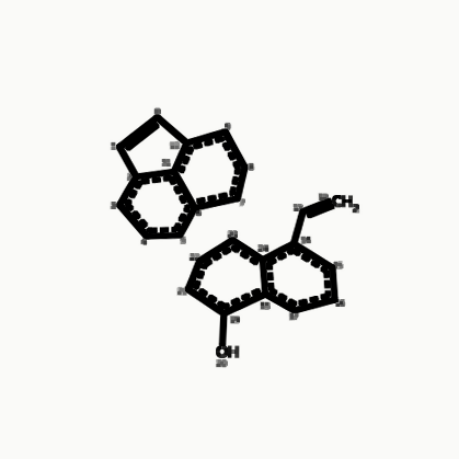 C1=Cc2cccc3cccc1c23.C=Cc1cccc2c(O)cccc12